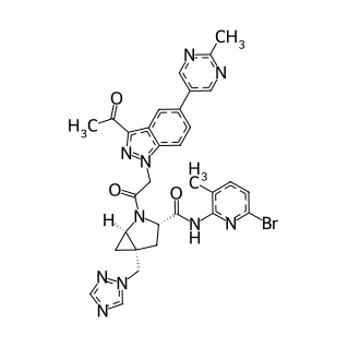 CC(=O)c1nn(CC(=O)N2[C@H](C(=O)Nc3nc(Br)ccc3C)C[C@@]3(Cn4cncn4)C[C@@H]23)c2ccc(-c3cnc(C)nc3)cc12